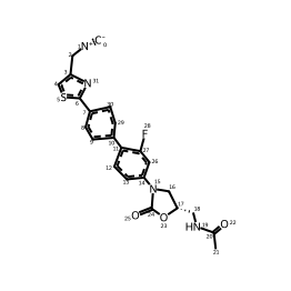 [C-]#[N+]Cc1csc(-c2ccc(-c3ccc(N4C[C@H](CNC(C)=O)OC4=O)cc3F)cc2)n1